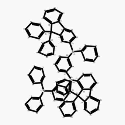 c1ccc(N(c2ccccc2)c2cccc(N(c3cccc(N(c4ccccc4)c4ccc5c(c4)C(c4ccccc4)(c4ccccc4)c4ccccc4-5)c3)c3cccc4c3C(c3ccccc3)(c3ccccc3)c3ccccc3-4)c2)cc1